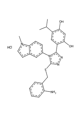 CC(C)c1cc(-c2nnc(SCc3ccccc3N)n2-c2ccc3c(ccn3C)c2)c(O)cc1O.Cl